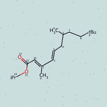 CC(C=CCC(C)CCC(C)(C)C)=CC(=O)OC(C)C